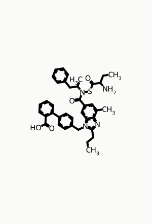 CCCc1nc2c(C)cc(C(=O)N(SC(=O)C(N)CC)C(C)Cc3ccccc3)cc2n1Cc1ccc(-c2ccccc2C(=O)O)cc1